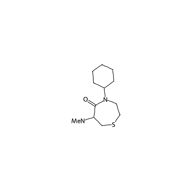 CNC1CSCCN(C2CCCCC2)C1=O